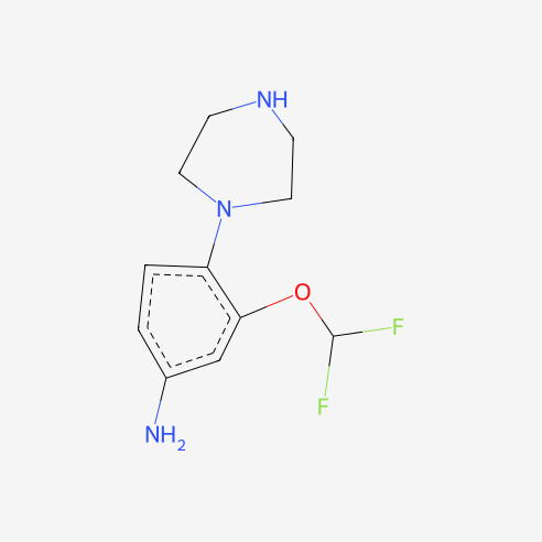 Nc1ccc(N2CCNCC2)c(OC(F)F)c1